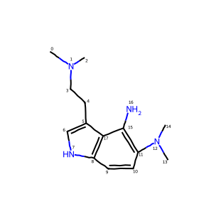 CN(C)CCc1c[nH]c2ccc(N(C)C)c(N)c12